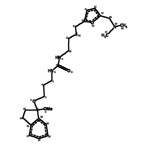 COC1(OCCCNC(=O)NCCSCc2ccc(CN(C)C)o2)CCc2ccccc21